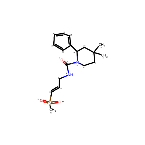 CC1(C)CCN(C(=O)NCC=CS(C)(=O)=O)C(c2ccccc2)C1